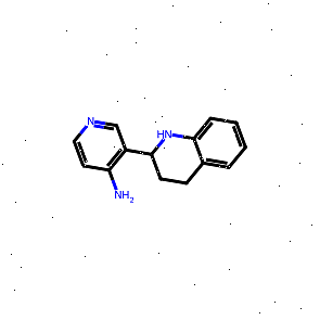 Nc1ccncc1C1CCc2ccccc2N1